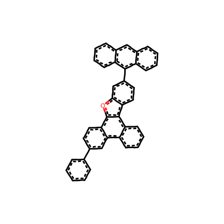 c1ccc(-c2ccc3c(c2)c2ccccc2c2c4ccc(-c5c6ccccc6cc6ccccc56)cc4oc32)cc1